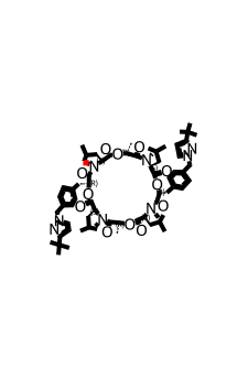 CC(C)C[C@H]1C(=O)O[C@H](Cc2ccc(Cn3ccc(C(C)(C)C)n3)cc2)C(=O)N(C)[C@@H](CC(C)C)C(=O)O[C@H](C)C(=O)N(C)[C@@H](CC(C)C)C(=O)O[C@H](Cc2ccc(Cn3ccc(C(C)(C)C)n3)cc2)C(=O)N(C)[C@@H](CC(C)C)C(=O)O[C@H](C)C(=O)N1C